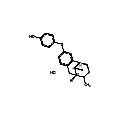 CN1CC[C@]23CCCC[C@H]2[C@H]1Cc1ccc(Oc2ccc(O)cc2)cc13.Cl